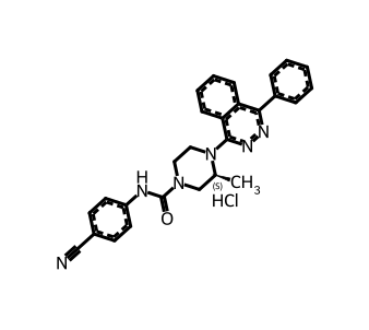 C[C@H]1CN(C(=O)Nc2ccc(C#N)cc2)CCN1c1nnc(-c2ccccc2)c2ccccc12.Cl